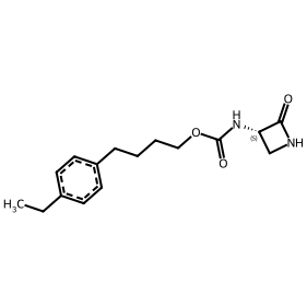 CCc1ccc(CCCCOC(=O)N[C@H]2CNC2=O)cc1